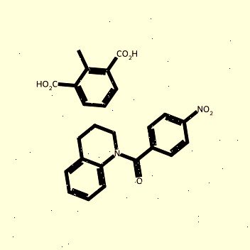 Cc1c(C(=O)O)cccc1C(=O)O.O=C(c1ccc([N+](=O)[O-])cc1)N1CCCc2ccccc21